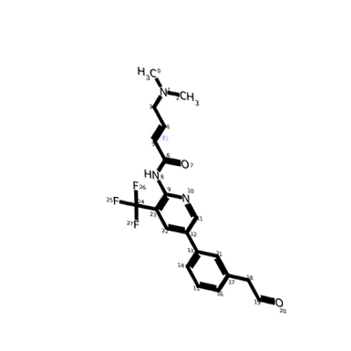 CN(C)C/C=C/C(=O)Nc1ncc(-c2cccc(CC=O)c2)cc1C(F)(F)F